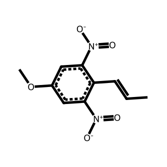 C/C=C/c1c([N+](=O)[O-])cc(OC)cc1[N+](=O)[O-]